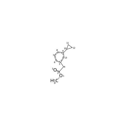 COC(=O)Cc1cccc(C2CC2)c1